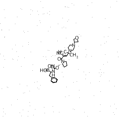 CC(C)(C=C(C#N)C(=O)N1CCC[C@@H]1COC(=O)NC(Cc1ccccc1)B(O)O)N1CCN(C2COC2)CC1